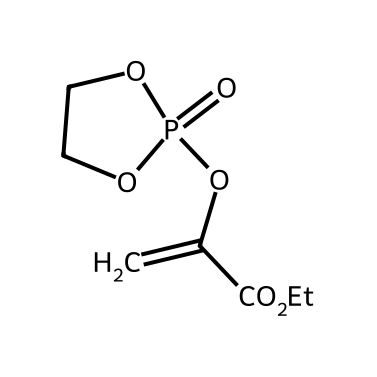 C=C(OP1(=O)OCCO1)C(=O)OCC